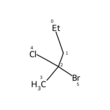 CCCC(C)(Cl)Br